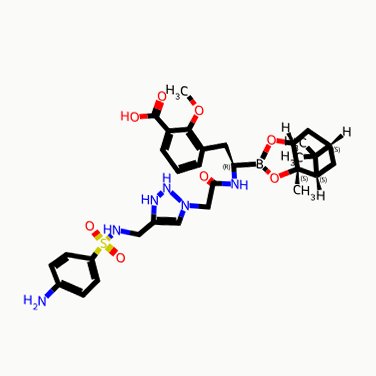 COc1c(C[C@H](NC(=O)CN2C=C(CNS(=O)(=O)c3ccc(N)cc3)NN2)B2O[C@@H]3C[C@@H]4C[C@@H](C4(C)C)[C@]3(C)O2)cccc1C(=O)O